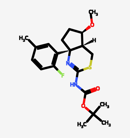 CO[C@@H]1CC[C@]2(c3cc(C)ccc3F)N=C(NC(=O)OC(C)(C)C)SC[C@H]12